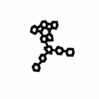 c1ccc(-c2ccc(-c3cc(-c4ccc(-n5c6ccccc6c6ccc7c8ccccc8n(-c8ccccc8)c7c65)cc4)nc(-c4ccc(-c5ccccc5)cc4)n3)cc2)cc1